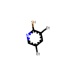 CCc1cnc(S)c(CC)c1